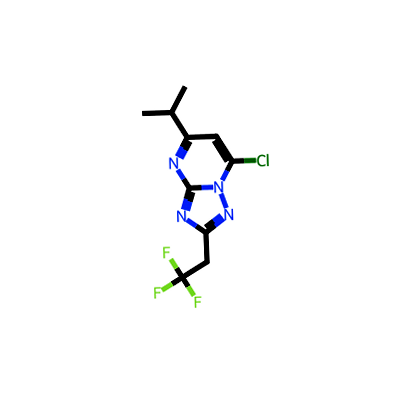 CC(C)c1cc(Cl)n2nc(CC(F)(F)F)nc2n1